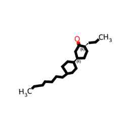 CCCCCCCC1CCC([C@@H]2CC[C@@H](CCC)C(=O)C2)CC1